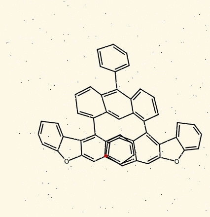 c1ccc(-c2c3cccc(-c4c5ccccc5cc5oc6ccccc6c45)c3cc3c(-c4c5ccccc5cc5oc6ccccc6c45)cccc23)cc1